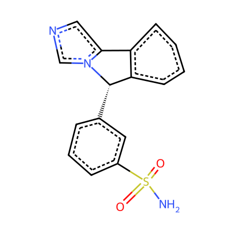 NS(=O)(=O)c1cccc([C@H]2c3ccccc3-c3cncn32)c1